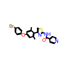 Cc1cc(Oc2ccc(Br)cc2)cc(C)c1-c1csc(NC(=O)c2ccncc2)n1